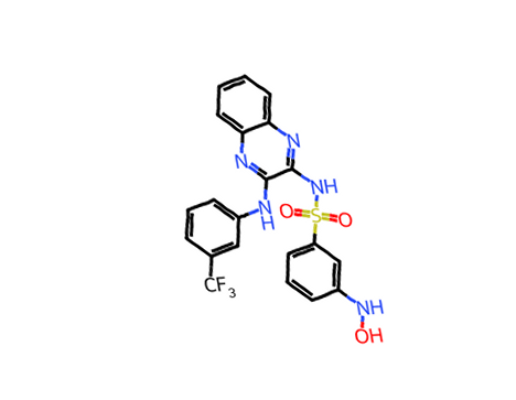 O=S(=O)(Nc1nc2ccccc2nc1Nc1cccc(C(F)(F)F)c1)c1cccc(NO)c1